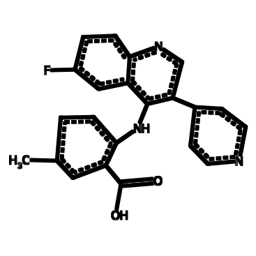 Cc1ccc(Nc2c(-c3ccncc3)cnc3ccc(F)cc23)c(C(=O)O)c1